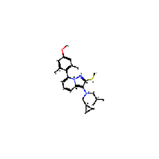 COc1cc(C)c(-c2cccc3c(N(CC(C)C)CC4CC4)c(SC)nn23)c(C)c1